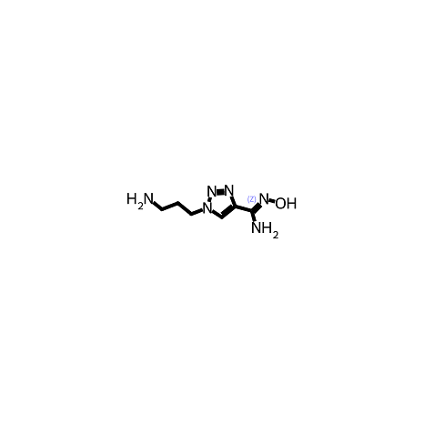 NCCCn1cc(/C(N)=N/O)nn1